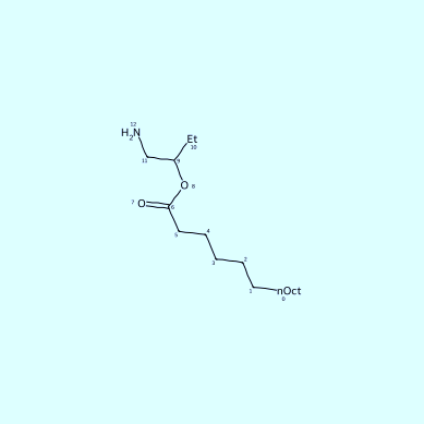 CCCCCCCCCCCCCC(=O)OC(CC)CN